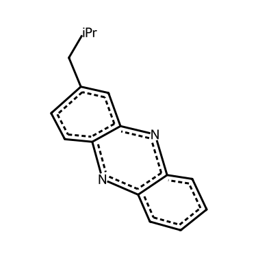 CC(C)Cc1ccc2nc3ccccc3nc2c1